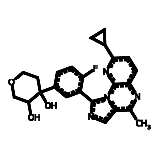 Cc1nc2ccc(C3CC3)nc2n2c(-c3cc(C4(O)CCOCC4O)ccc3F)ncc12